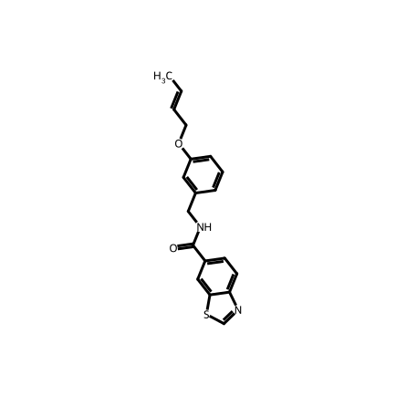 CC=CCOc1cccc(CNC(=O)c2ccc3ncsc3c2)c1